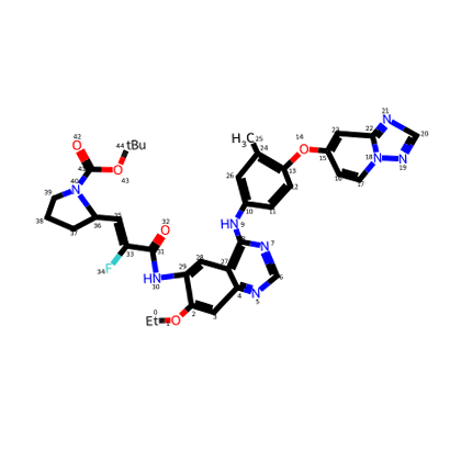 CCOc1cc2ncnc(Nc3ccc(Oc4ccn5ncnc5c4)c(C)c3)c2cc1NC(=O)C(F)=CC1CCCN1C(=O)OC(C)(C)C